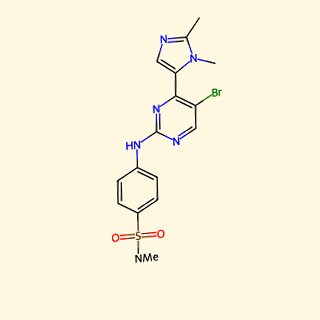 CNS(=O)(=O)c1ccc(Nc2ncc(Br)c(-c3cnc(C)n3C)n2)cc1